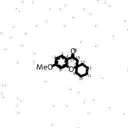 COc1ccc2c(c1)OC1(CCCCC1)CC2=O